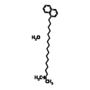 CN(C)CCCCCCCCCCCCCCCCc1cccc2ccccc12.O